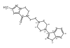 Cc1cc2n(n1)CCN(CCN1CCN(c3nsc4ccccc34)CC1)C2=O